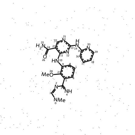 CN/C=N\C(=N)c1cccc(Nc2nc(Nc3ccccn3)ncc2C(N)=O)c1OC